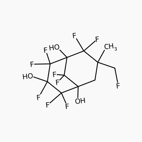 CC1(CF)CC2(O)C(F)(F)C(O)(F)C(F)(F)C(O)(C1(F)F)C2(F)F